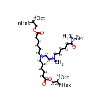 CCCCCCCCC(CCCCCC)COC(=O)CCCCCN(CCCCCC(=O)OCC(CCCCCC)CCCCCCCC)CCN(C)CCCCCC(=O)N(C)CCC